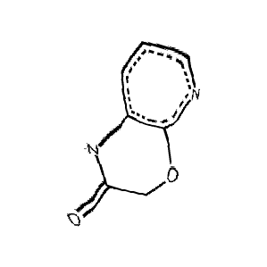 O=C1COc2ncccc2[N]1